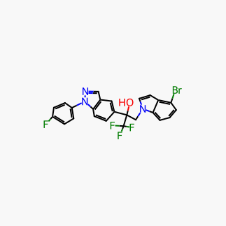 OC(Cn1ccc2c(Br)cccc21)(c1ccc2c(cnn2-c2ccc(F)cc2)c1)C(F)(F)F